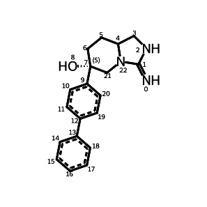 N=C1NCC2CC[C@](O)(c3ccc(-c4ccccc4)cc3)CN12